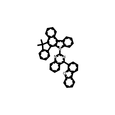 CC1(C)c2ccccc2-c2c1c1ccccc1c1c3ccccc3n(-c3nc(-c4cccc5c4oc4ccccc45)c4ccccc4n3)c21